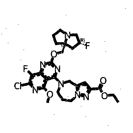 CCOC(=O)c1cc2n(n1)CCCN(c1nc(OC[C@@]34CCCN3C[C@H](F)C4)nc3c(F)c(Cl)nc(OC)c13)C2